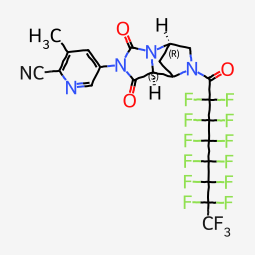 Cc1cc(N2C(=O)[C@@H]3C4C[C@H](CN4C(=O)C(F)(F)C(F)(F)C(F)(F)C(F)(F)C(F)(F)C(F)(F)C(F)(F)F)N3C2=O)cnc1C#N